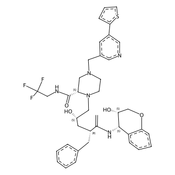 C=C(N[C@H]1c2ccccc2OC[C@H]1O)[C@H](Cc1ccccc1)C[C@H](O)CN1CCN(Cc2cncc(-c3cccs3)c2)C[C@H]1C(=O)NCC(F)(F)F